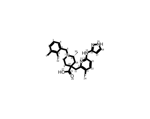 Cc1cccc(CN2CCC(Cc3nc(Nc4cc[nH]n4)ccc3F)(C(=O)O)C[C@H]2C)c1F